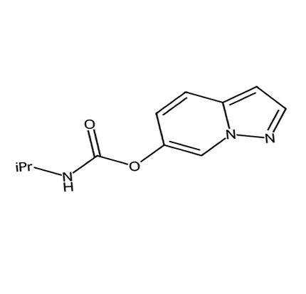 CC(C)NC(=O)Oc1ccc2ccnn2c1